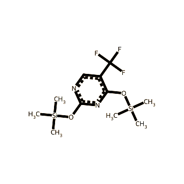 C[Si](C)(C)Oc1ncc(C(F)(F)F)c(O[Si](C)(C)C)n1